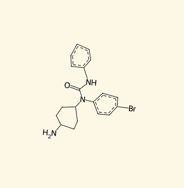 NC1CCC(N(C(=O)Nc2ccccc2)c2ccc(Br)cc2)CC1